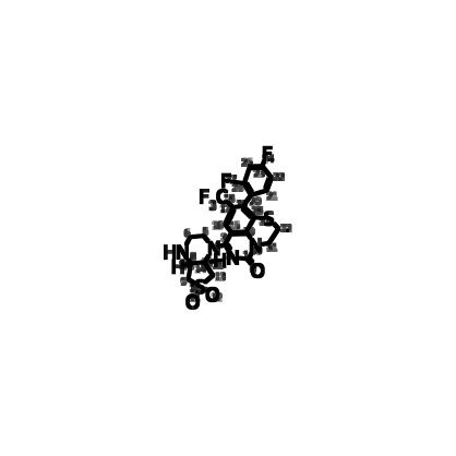 O=c1nc(N2CCN[C@H]3CS(=O)(=O)C[C@H]32)c2cc(C(F)(F)F)c(-c3ccc(F)cc3F)c3c2n1CCS3